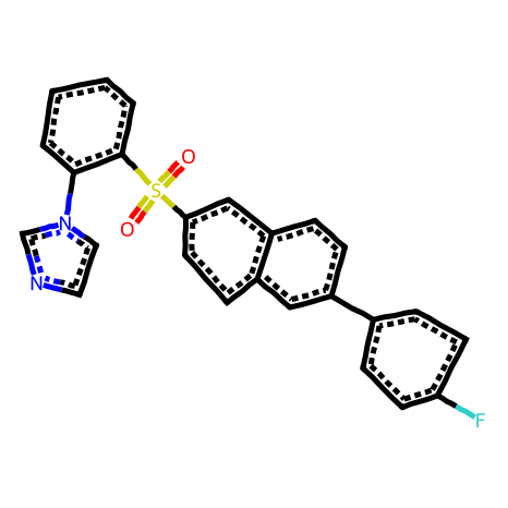 O=S(=O)(c1ccc2cc(-c3ccc(F)cc3)ccc2c1)c1ccccc1-n1ccnc1